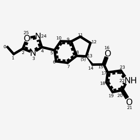 CCc1nc(-c2ccc3c(c2)CC[C@H]3CC(=O)c2ccc(=O)[nH]c2)no1